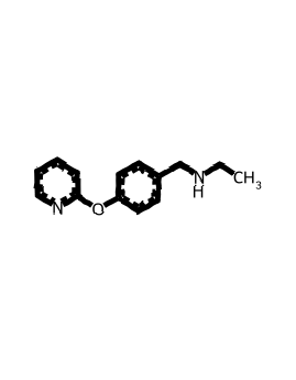 CCNCc1ccc(Oc2ccccn2)cc1